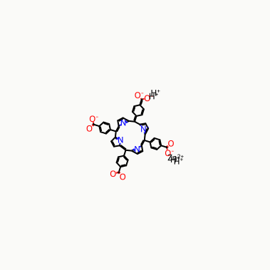 O=C([O-])c1ccc(C2=C3C=CC(=N3)C(c3ccc(C(=O)[O-])cc3)=C3C=CC(=N3)C(=c3ccc(=C([O-])[O-])cc3)c3ccc([n-]3)C(c3ccc(C(=O)[O-])cc3)=C3C=CC2=N3)cc1.[H+].[H+].[H+].[H+].[Zn+2]